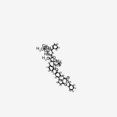 CN(C(=O)[C@H](CCc1ccccc1)NC(=O)OC(C)(C)C)[C@@H](Cc1cccc(Oc2cccc(C[C@@H](C(=O)OCc3ccccc3)N3CCCC3=O)c2)c1)C(O)NCC(F)(F)F